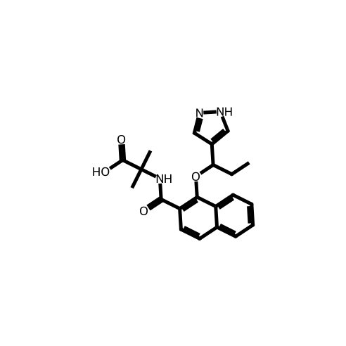 CCC(Oc1c(C(=O)NC(C)(C)C(=O)O)ccc2ccccc12)c1cn[nH]c1